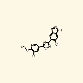 CC(C)Oc1ncc(-c2nc(-c3cc4cn[nH]c4cc3Cl)no2)cc1Cl